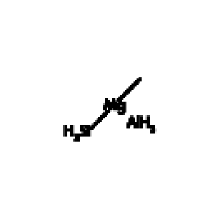 [AlH3].[CH3][Mg][SiH3]